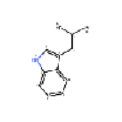 CC(C)C(Cc1c[nH]c2ccccc12)C(C)C